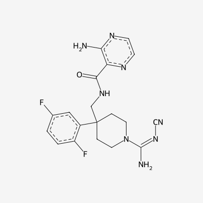 N#C/N=C(/N)N1CCC(CNC(=O)c2nccnc2N)(c2cc(F)ccc2F)CC1